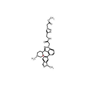 COC(=O)Cn1cc(CNC(=O)Cn2nc(C3CCN(C)CC3)c3c(-c4cc5c(cnn5C)cc4F)cccc32)nn1